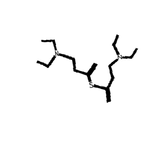 C=C(CCN(CC)CC)SC(=C)CCN(CC)CC